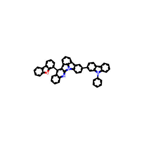 c1ccc(-n2c3ccccc3c3ccc(-c4ccc5c(c4)c4cccc6c7c(-c8cccc9c8oc8ccccc89)c8ccccc8nc7n5c46)cc32)cc1